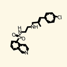 C/C(=C\c1ccc(Cl)cc1)CNCCNS(=O)(=O)c1cccc2cnccc12